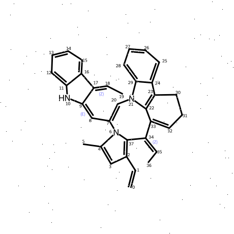 C=Cc1cc(C)n2c(/C=c3/[nH]c4ccccc4/c3=C/C)cn3c4c(c5ccccc53)CCC=c4/c(=C/C)c12